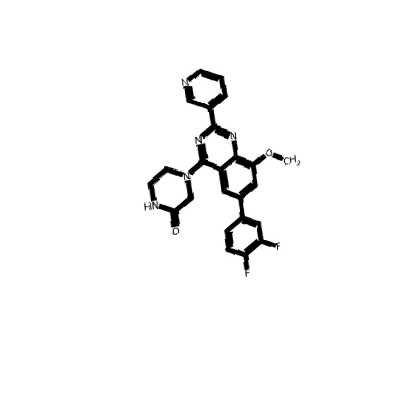 COc1cc(-c2ccc(F)c(F)c2)cc2c(N3CCNC(=O)C3)nc(-c3cccnc3)nc12